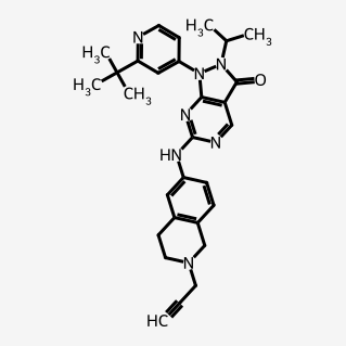 C#CCN1CCc2cc(Nc3ncc4c(=O)n(C(C)C)n(-c5ccnc(C(C)(C)C)c5)c4n3)ccc2C1